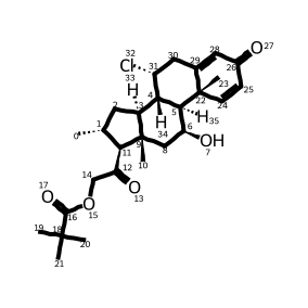 C[C@@H]1C[C@H]2[C@H]3[C@H]([C@@H](O)C[C@]2(C)[C@H]1C(=O)COC(=O)C(C)(C)C)[C@@]1(C)C=CC(=O)C=C1C[C@H]3Cl